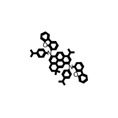 CC(C)c1ccc(N(c2cc3c4c(cc5c(N(c6ccc(C(C)C)cc6)C6CC=Cc7c6oc6ccccc76)cc(C(C)C)c6ccc2c4c65)C(C)(C)CC3)c2cccc3c2oc2ccccc23)cc1